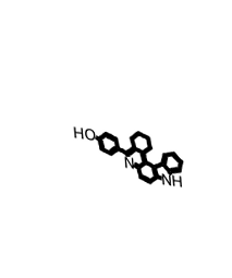 Oc1ccc(-c2nc3ccc4[nH]c5ccccc5c4c3c3c2CCCC3)cc1